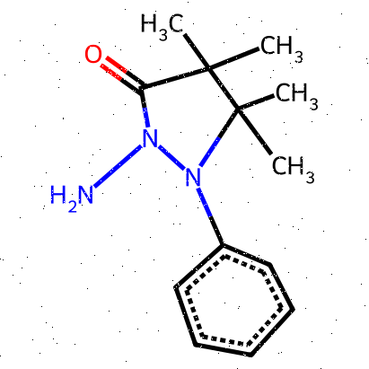 CC1(C)C(=O)N(N)N(c2ccccc2)C1(C)C